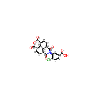 O=C(O)c1ccc(Cl)c(N2C(=O)c3ccc4c5c(ccc(c35)C2=O)C(=O)OC4=O)c1